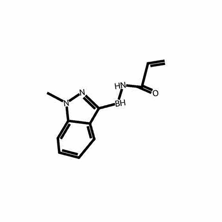 C=CC(=O)NBc1nn(C)c2ccccc12